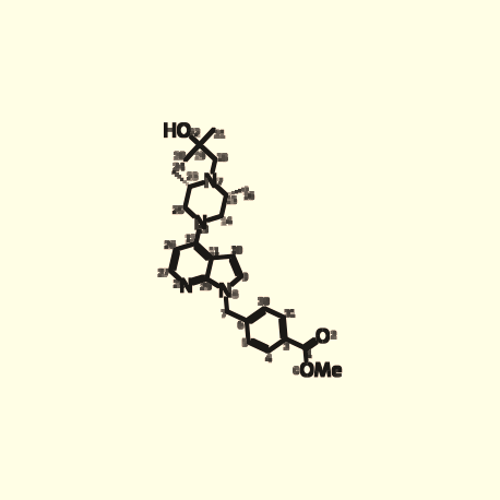 COC(=O)c1ccc(Cn2ccc3c(N4C[C@@H](C)N(CC(C)(C)O)[C@@H](C)C4)ccnc32)cc1